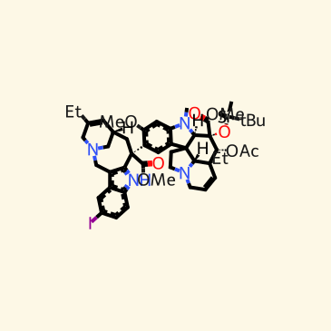 CCC1=C[C@H]2CN(C1)Cc1c([nH]c3ccc(I)cc13)[C@@](C(=O)OC)(c1cc3c(cc1OC)N(C)[C@@H]1C34CCN3CC=C[C@](CC)([C@H]34)[C@@H](OC(C)=O)[C@]1(O[Si](C)(C)C(C)(C)C)C(=O)OC)C2